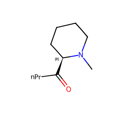 CCCC(=O)[C@H]1CCCCN1C